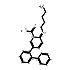 CCCCC/N=c1/ccc(-c2ccccc2-c2ccccc2)cn1C(C)=O